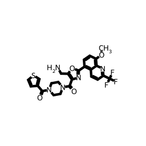 COc1ccc(-c2nc(C(=O)N3CCN(C(=O)c4ccsc4)CC3)c(CN)o2)c2ccc(C(F)(F)F)nc12